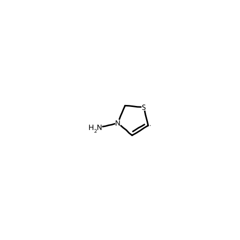 NN1C=[C]SC1